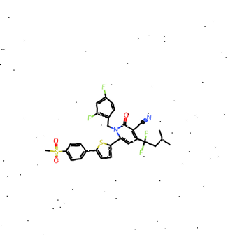 CC(C)CC(F)(F)c1cc(-c2ccc(-c3ccc(S(C)(=O)=O)cc3)s2)n(Cc2ccc(F)cc2F)c(=O)c1C#N